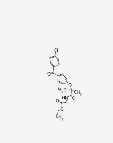 CCOC(=O)CNC(=O)C(C)(C)Oc1ccc(C(=O)c2ccc(Cl)cc2)cc1